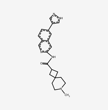 CN1CCC2(CC1)CC(C(=O)Nc1cc3cc(-c4cn[nH]c4)ccc3cn1)C2